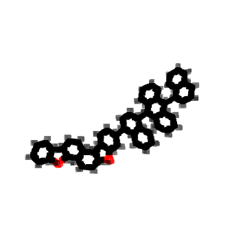 c1ccc2c(-c3c4ccccc4c(-c4ccc(-c5ccc6c(c5)oc5ccc7c(ccc8c9ccccc9oc87)c56)c5ccccc45)c4ccccc34)cccc2c1